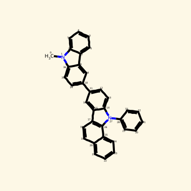 Cn1c2ccccc2c2cc(-c3ccc4c(c3)c3ccc5ccccc5c3n4-c3ccccc3)ccc21